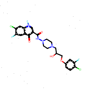 O=C(NN1CCN(CC(O)COc2ccc(Cl)c(F)c2)CC1)c1cn(F)c2cc(Cl)c(F)cc2c1=O